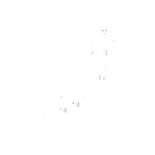 COC(=O)C(NC(=O)c1cc(-c2ccc(NC(=O)Nc3cccc(F)c3)cc2)no1)C(C)C